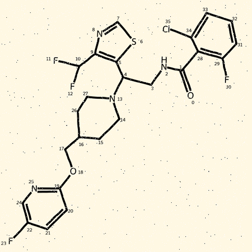 O=C(NCC(c1scnc1C(F)F)N1CCC(COc2ccc(F)cn2)CC1)c1c(F)cccc1Cl